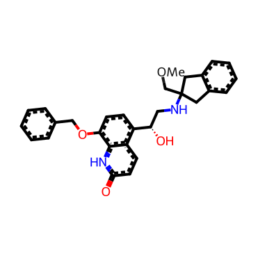 COCC1(NC[C@H](O)c2ccc(OCc3ccccc3)c3[nH]c(=O)ccc23)Cc2ccccc2C1